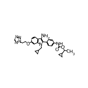 CC(OC(=O)Nc1ccc(-c2c(N)c3ccc(OCCn4ncnn4)cc3n2CC2CC2)cc1)C1CC1